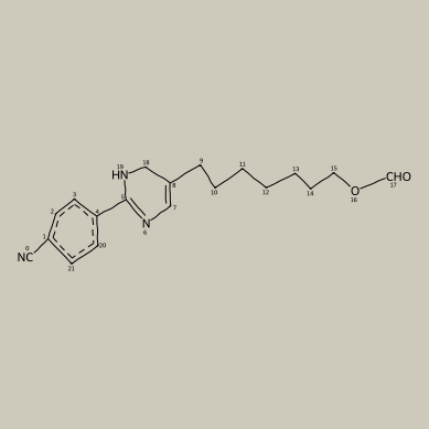 N#Cc1ccc(C2=NC=C(CCCCCCCOC=O)CN2)cc1